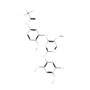 COc1cc(OC)c(Nc2ncc(OC)c(Nc3cc(NC(=O)C(F)(F)F)ccc3OC)n2)cc1N